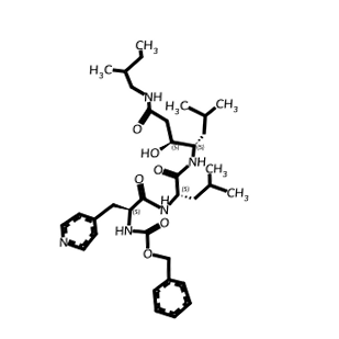 CCC(C)CNC(=O)C[C@H](O)[C@H](CC(C)C)NC(=O)[C@H](CC(C)C)NC(=O)[C@H](Cc1ccncc1)NC(=O)OCc1ccccc1